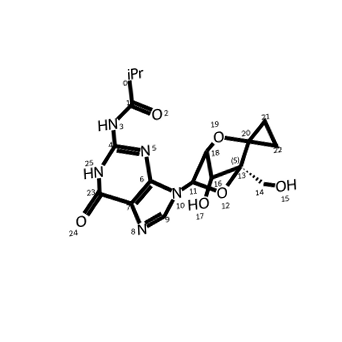 CC(C)C(=O)Nc1nc2c(ncn2C2O[C@@]3(CO)C(O)C2OC32CC2)c(=O)[nH]1